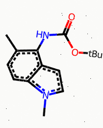 Cc1ccc2c(ccn2C)c1NC(=O)OC(C)(C)C